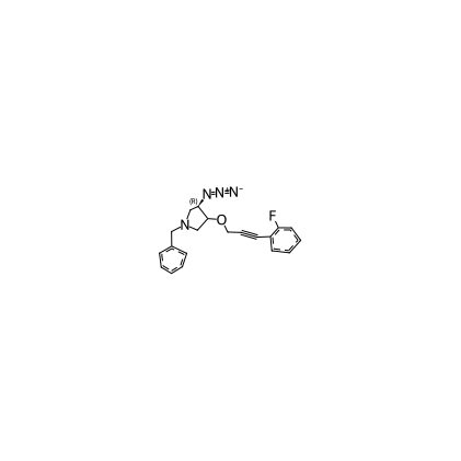 [N-]=[N+]=N[C@@H]1CN(Cc2ccccc2)CC1OCC#Cc1ccccc1F